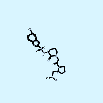 CC(C)N(C[C@@H]1CCCN1C(=O)CN1CCC[C@H](NS(=O)(=O)c2cc3cc(Cl)ccc3s2)C1=O)C(C)C